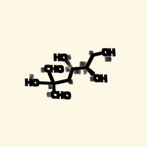 O=CC(O)(C=O)C[C@H](O)[C@H](O)CO